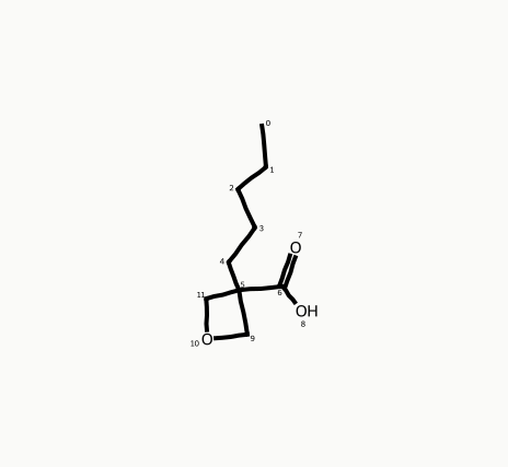 CCCCCC1(C(=O)O)COC1